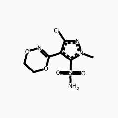 Cn1nc(Cl)c(C2=NOCCO2)c1S(N)(=O)=O